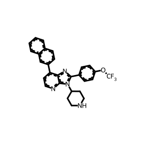 FC(F)(F)Oc1ccc(-c2nc3c(-c4ccc5ccccc5c4)ccnc3n2C2CCNCC2)cc1